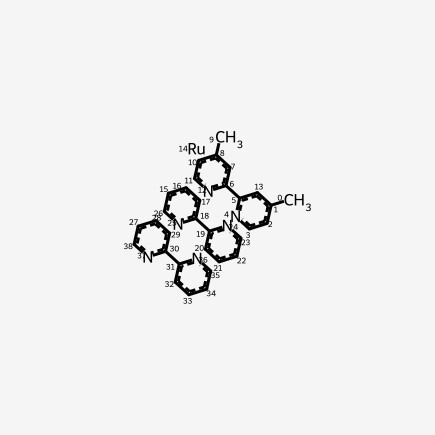 Cc1ccnc(-c2cc(C)ccn2)c1.[Ru].c1ccc(-c2ccccn2)nc1.c1ccc(-c2ccccn2)nc1